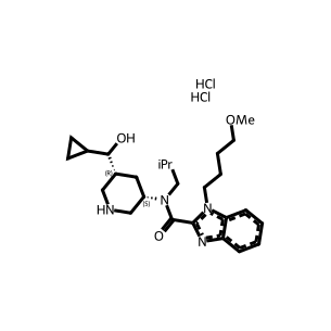 COCCCCn1c(C(=O)N(CC(C)C)[C@@H]2CNC[C@H](C(O)C3CC3)C2)nc2ccccc21.Cl.Cl